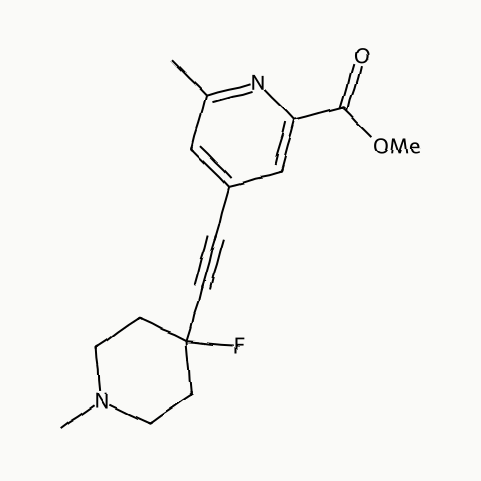 COC(=O)c1cc(C#CC2(F)CCN(C)CC2)cc(C)n1